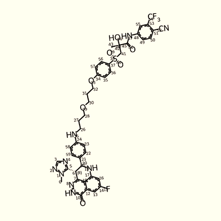 Cn1ncnc1[C@H]1c2n[nH]c(=O)c3cc(F)cc(c23)N[C@@H]1c1ccc(NCCCOCCCOc2ccc(S(=O)(=O)C[C@](C)(O)C(=O)Nc3ccc(C#N)c(C(F)(F)F)c3)cc2)cc1